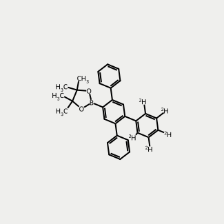 [2H]c1c([2H])c([2H])c(-c2cc(-c3ccccc3)c(B3OC(C)(C)C(C)(C)O3)cc2-c2ccccc2)c([2H])c1[2H]